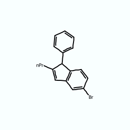 CCCC1=Cc2cc(Br)ccc2C1c1ccccc1